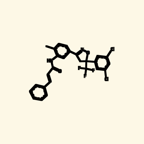 Cc1ccc(C2=NOC(c3cc(Cl)cc(Cl)c3)(C(F)(F)F)C2)cc1NC(=O)C=Cc1ccccc1